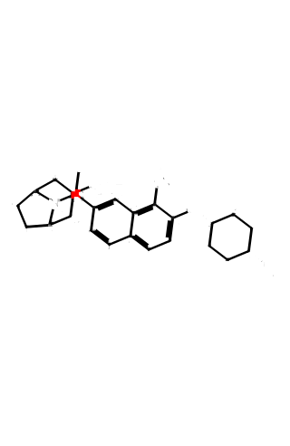 CC(c1ccc2ccc(O[C@H]3CC[C@@H](C(F)(F)F)CC3)c(C#N)c2c1)N1C2CCC1CC(C(=O)O)C2